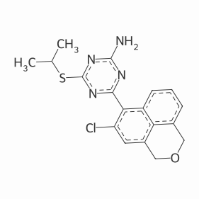 CC(C)Sc1nc(N)nc(-c2c(Cl)cc3c4c(cccc24)COC3)n1